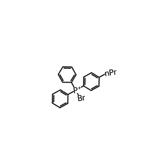 CCCc1ccc([P+](Br)(c2ccccc2)c2ccccc2)cc1